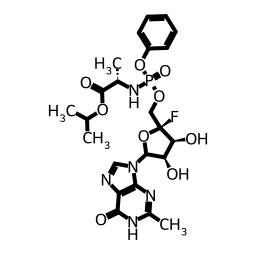 Cc1nc2c(ncn2C2O[C@](F)(COP(=O)(N[C@@H](C)C(=O)OC(C)C)Oc3ccccc3)[C@@H](O)[C@H]2O)c(=O)[nH]1